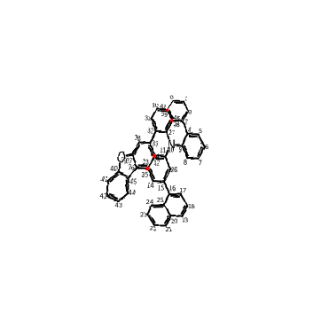 c1ccc(-c2ccccc2N(c2cccc(-c3cccc4ccccc34)c2)c2ccccc2-c2ccc3c(c2)oc2ccccc23)cc1